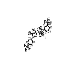 CC(C)([C@@H]1CN(c2ccc(C(F)(F)F)cc2)C(=O)O1)S(=O)(=O)c1cccc(C(F)(F)F)c1